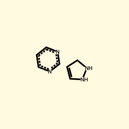 C1=CNNC1.c1cncnc1